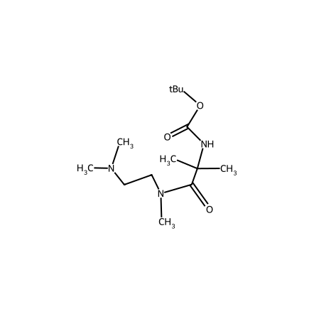 CN(C)CCN(C)C(=O)C(C)(C)NC(=O)OC(C)(C)C